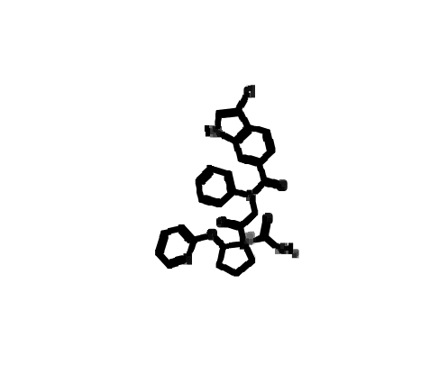 NC(=O)[N@@+]1(C(=O)CN(C(=O)c2ccc3c(Cl)c[nH]c3c2)c2ccccc2)CCCC1Oc1ccccn1